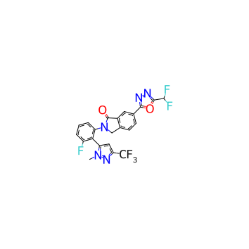 Cn1nc(C(F)(F)F)cc1-c1c(F)cccc1N1Cc2ccc(-c3nnc(C(F)F)o3)cc2C1=O